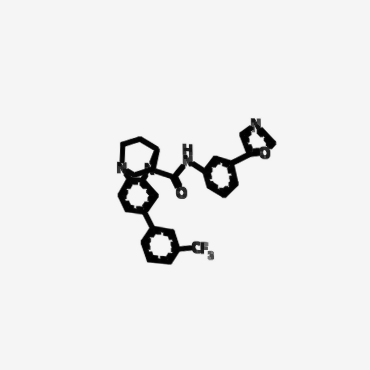 O=C(Nc1cccc(-c2cnco2)c1)N1c2cc(-c3cccc(C(F)(F)F)c3)ccc2N2CCC1CC2